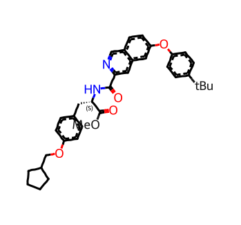 COC(=O)[C@H](Cc1ccc(OCC2CCCC2)cc1)NC(=O)c1cc2cc(Oc3ccc(C(C)(C)C)cc3)ccc2cn1